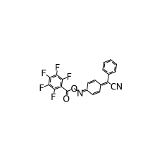 N#CC(=C1C=CC(=NOC(=O)c2c(F)c(F)c(F)c(F)c2F)C=C1)c1ccccc1